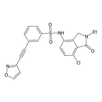 CCN1Cc2c(NS(=O)(=O)c3cccc(C#Cc4ccon4)c3)ccc(Cl)c2C1=O